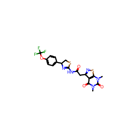 Cn1c(=O)c2c(CC(=O)NC3=NC(c4ccc(OC(F)(F)F)cc4)CS3)nsc2n(C)c1=O